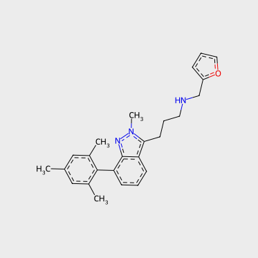 Cc1cc(C)c(-c2cccc3c(CCCNCc4ccco4)n(C)nc23)c(C)c1